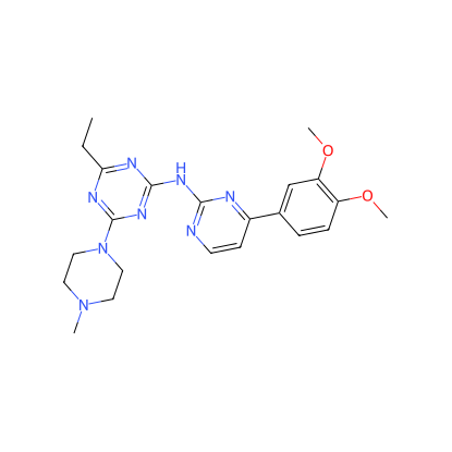 CCc1nc(Nc2nccc(-c3ccc(OC)c(OC)c3)n2)nc(N2CCN(C)CC2)n1